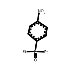 CCP(=O)(CC)c1ccc([N+](=O)[O-])cc1